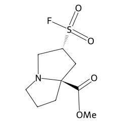 COC(=O)[C@@]12CCCN1C[C@H](S(=O)(=O)F)C2